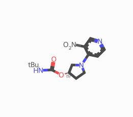 CC(C)(C)NC(=O)O[C@H]1CCN(c2ccncc2[N+](=O)[O-])C1